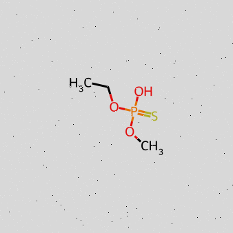 CCOP(O)(=S)OC